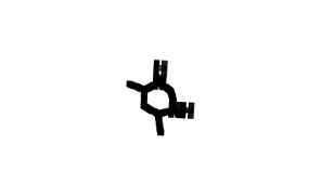 CC1CC(C)NCN1